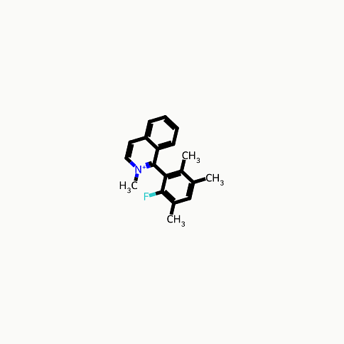 Cc1cc(C)c(F)c(-c2c3ccccc3cc[n+]2C)c1C